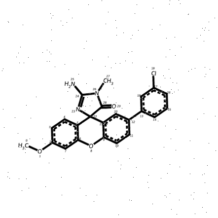 COc1ccc2c(c1)Oc1ccc(-c3cccc(Cl)c3)cc1C21N=C(N)N(C)C1=O